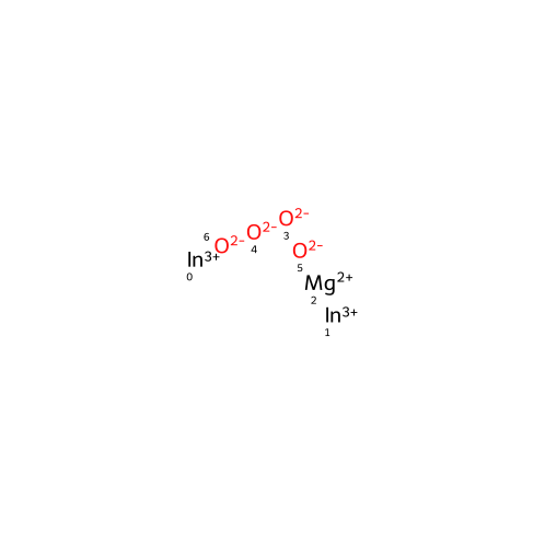 [In+3].[In+3].[Mg+2].[O-2].[O-2].[O-2].[O-2]